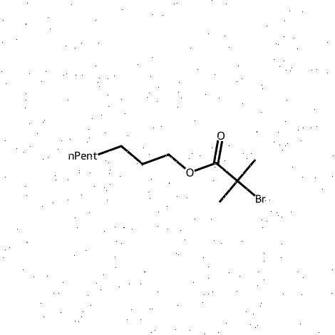 CCCCCCCCOC(=O)C(C)(C)Br